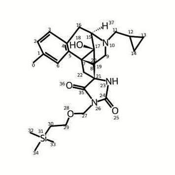 Cc1ccc2c(c1)[C@]13CCN(CC4CC4)[C@H](C2)[C@]1(O)CC[C@@]1(C3)NC(=O)N(COCC[Si](C)(C)C)C1=O